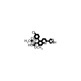 Cc1cc2nc(C3C=NNC3)ccc2c(-c2ccc(Cl)cc2)c1[C@H](OC(C)(C)C)C(=O)O